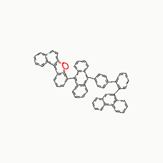 c1ccc(-c2cc3ccccc3c3ccccc23)c(-c2ccc(-c3c4ccccc4c(-c4cccc5c4oc4ccc6ccccc6c45)c4ccccc34)cc2)c1